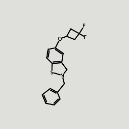 FC1(F)CC(Oc2ccc3c(c2)CN(Cc2ccccc2)S3)C1